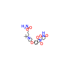 CC(C)(C)C(CCCOC(N)=O)N1CCC(Oc2ccc3c(c2)C(=O)N(C2CCC(=O)NC2=O)C3=O)CC1